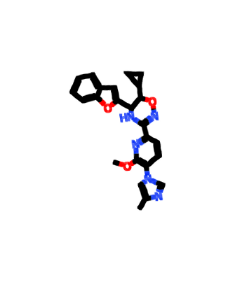 COc1nc(C2=NOC(C3CC3)C(c3cc4ccccc4o3)N2)ccc1-n1cnc(C)c1